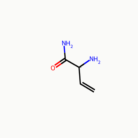 C=C[C](N)C(N)=O